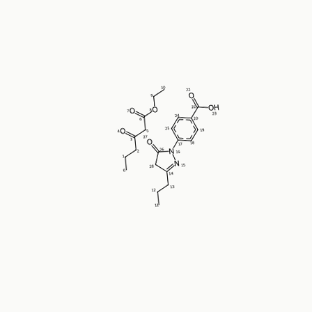 CCCC(=O)CC(=O)OCC.CCCC1=NN(c2ccc(C(=O)O)cc2)C(=O)C1